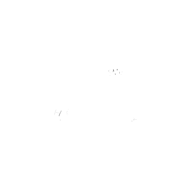 C=Cc1cc(SC)cc(C(C)C)c1